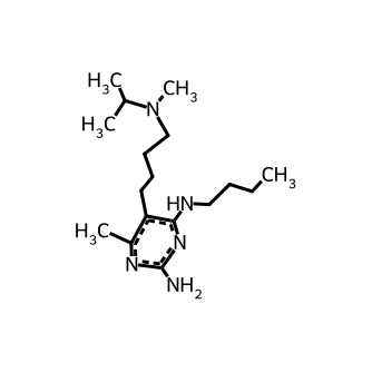 CCCCNc1nc(N)nc(C)c1CCCCN(C)C(C)C